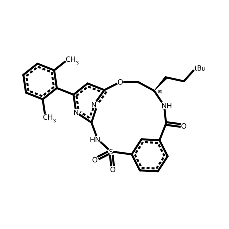 Cc1cccc(C)c1-c1cc2nc(n1)NS(=O)(=O)c1cccc(c1)C(=O)N[C@H](CCC(C)(C)C)CO2